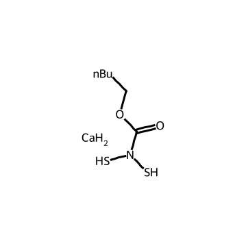 CCCCCOC(=O)N(S)S.[CaH2]